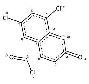 O=CCl.O=c1ccc2cc(Cl)cc(Cl)c2o1